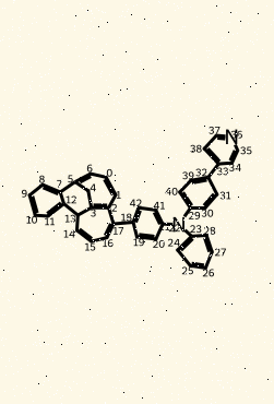 C1=CC2=C3CC(=C1)c1ccccc1C3C=CC=C2c1ccc(N(c2ccccc2)c2ccc(-c3ccncc3)cc2)cc1